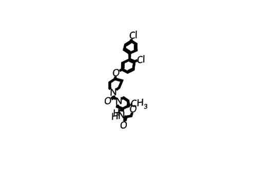 C[C@]12CCN(C(=O)N3CCC(Oc4ccc(Cl)c(-c5ccc(Cl)cc5)c4)CC3)C[C@H]1NC(=O)CO2